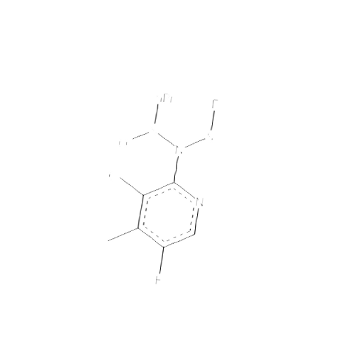 CCC[S+]([O-])N(SF)c1ncc(F)c(C)c1Cl